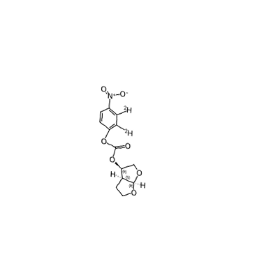 [2H]c1c(OC(=O)O[C@H]2CO[C@H]3OCC[C@H]32)ccc([N+](=O)[O-])c1[2H]